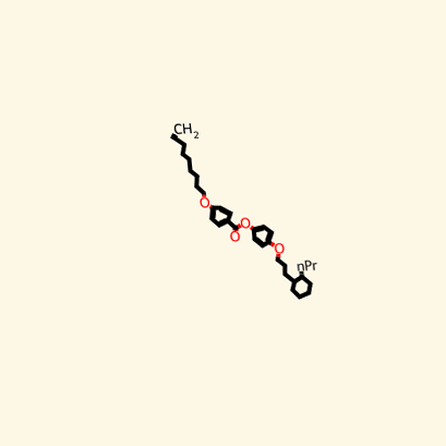 C=CCCCCCCCOc1ccc(C(=O)Oc2ccc(OCCCC3CCCCC3CCC)cc2)cc1